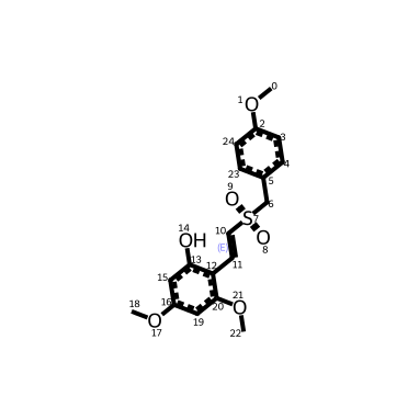 COc1ccc(CS(=O)(=O)/C=C/c2c(O)cc(OC)cc2OC)cc1